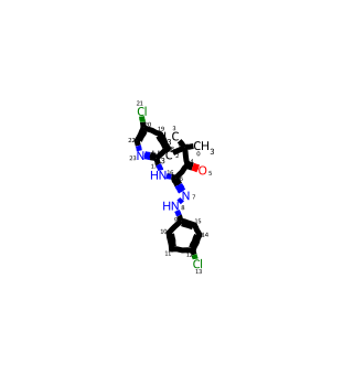 CC(C)(C)C(=O)/C(=N/Nc1ccc(Cl)cc1)Nc1ccc(Cl)cn1